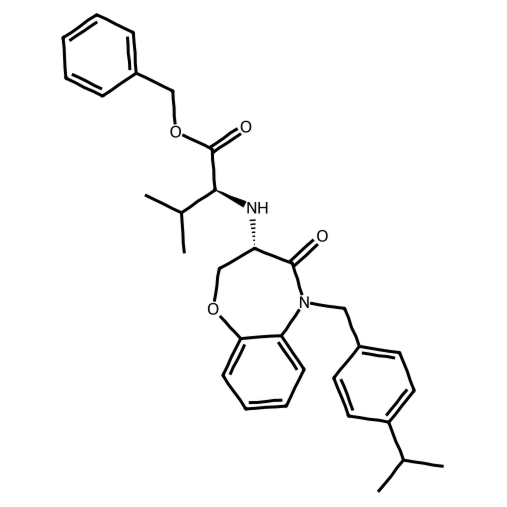 CC(C)c1ccc(CN2C(=O)[C@@H](N[C@H](C(=O)OCc3ccccc3)C(C)C)COc3ccccc32)cc1